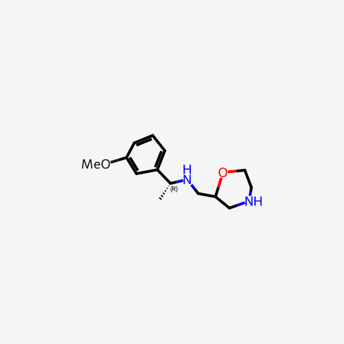 COc1cccc([C@@H](C)NCC2CNCCO2)c1